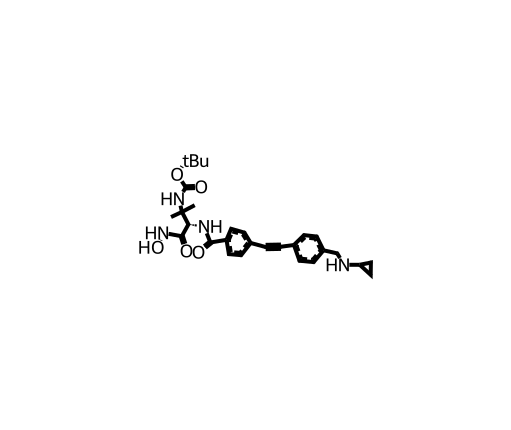 CC(C)(C)OC(=O)NC(C)(C)[C@H](NC(=O)c1ccc(C#Cc2ccc(CNC3CC3)cc2)cc1)C(=O)NO